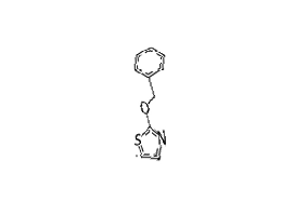 [c]1cnc(OCc2ccccc2)s1